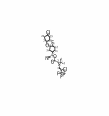 CC1(C)[C@H](C(=O)O[C@@H](C#N)c2ccc(F)c(Oc3ccc(Cl)cc3)c2)[C@@H]1/C=C(\Cl)C(F)(F)F